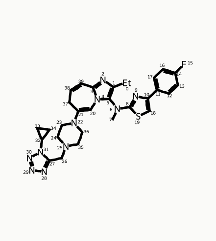 CCc1nc2n(c1N(C)c1nc(-c3ccc(F)cc3)cs1)C=C(N1CCN(Cc3nnnn3C3CC3)CC1)CC=C2